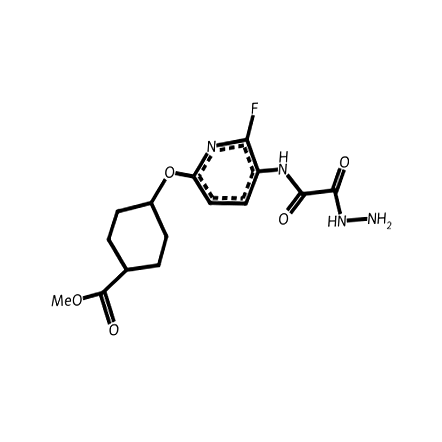 COC(=O)C1CCC(Oc2ccc(NC(=O)C(=O)NN)c(F)n2)CC1